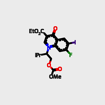 CCOC(=O)c1cn(C(COC(=O)OC)C(C)C)c2cc(F)c(I)cc2c1=O